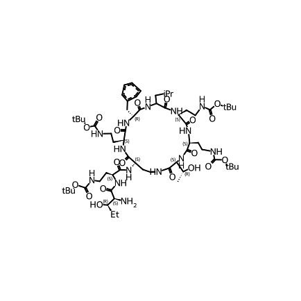 CC[C@@H](O)[C@H](N)C(=O)N[C@@H](CCNC(=O)OC(C)(C)C)C(=O)N[C@H]1CCNC(=O)[C@H]([C@@H](C)O)NC(=O)[C@H](CCNC(=O)OC(C)(C)C)NC(=O)[C@H](CCNC(=O)OC(C)(C)C)NC(=O)C(CC(C)C)NC(=O)[C@@H](Cc2ccccc2)NC(=O)[C@H](CCNC(=O)OC(C)(C)C)NC1=O